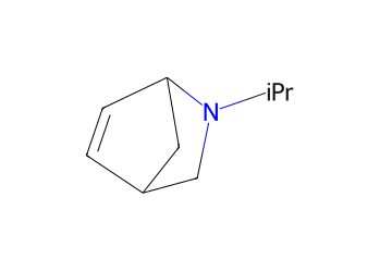 CC(C)N1CC2C=CC1C2